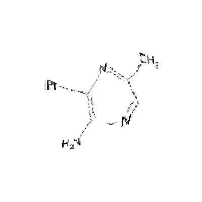 Cc1cnc(N)c(C(C)C)n1